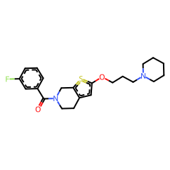 O=C(c1cccc(F)c1)N1CCc2cc(OCCCN3CCCCC3)sc2C1